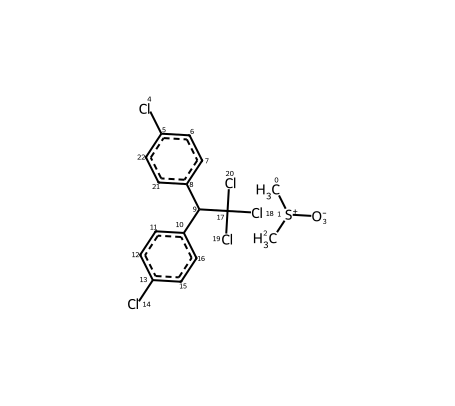 C[S+](C)[O-].Clc1ccc(C(c2ccc(Cl)cc2)C(Cl)(Cl)Cl)cc1